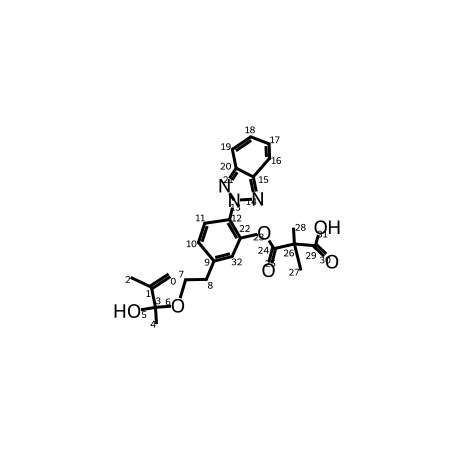 C=C(C)C(C)(O)OCCc1ccc(-n2nc3ccccc3n2)c(OC(=O)C(C)(C)C(=O)O)c1